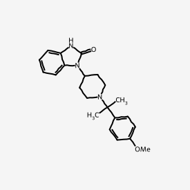 COc1ccc(C(C)(C)N2CCC(n3c(=O)[nH]c4ccccc43)CC2)cc1